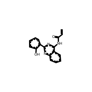 C=CC(=O)Nc1nc(-c2ccccc2O)nc2ccccc12